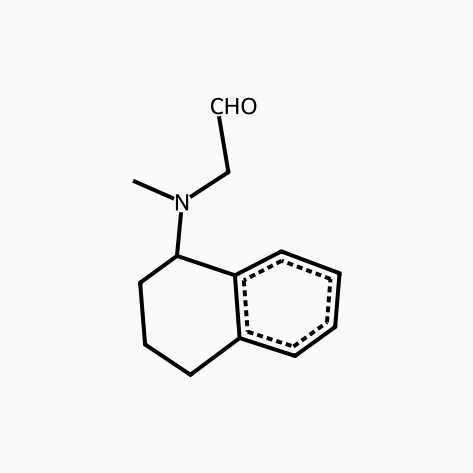 CN(CC=O)C1CCCc2ccccc21